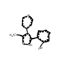 Cc1n[nH]c(-c2ccccc2O)c1-c1ccncc1